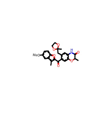 COc1ccc2oc(C(=O)c3cc4c(cc3CC3(C)OCCO3)NC(=O)C(C)O4)c(C)c2c1